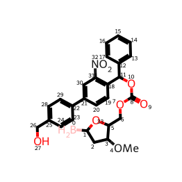 BC1CC(OC)C(COC(=O)OC(c2ccccc2)c2ccc(-c3ccc(CO)cc3)cc2[N+](=O)[O-])O1